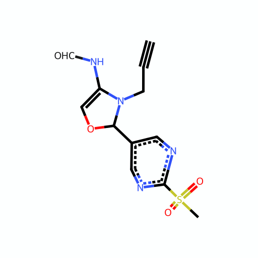 C#CCN1C(NC=O)=COC1c1cnc(S(C)(=O)=O)nc1